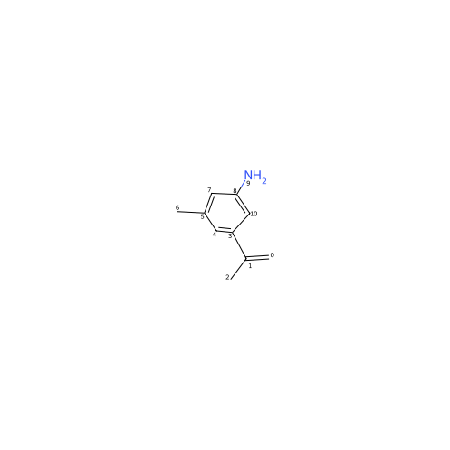 C=C(C)c1cc(C)cc(N)c1